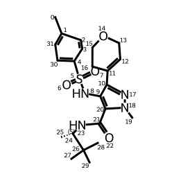 Cc1ccc(S(=O)(=O)Nc2c(C3=CCOCC3)nn(C)c2C(=O)N[C@@H](C)C(C)(C)C)cc1